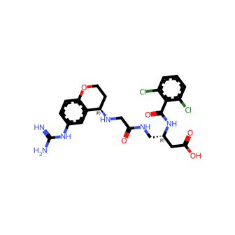 N=C(N)Nc1ccc2c(c1)[C@H](NCC(=O)NC[C@@H](CC(=O)O)NC(=O)c1c(Cl)cccc1Cl)CCO2